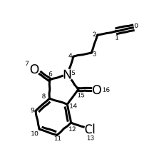 C#CCCCN1C(=O)c2cccc(Cl)c2C1=O